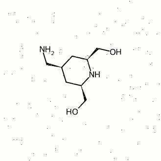 NC[C@H]1C[C@@H](CO)N[C@@H](CO)C1